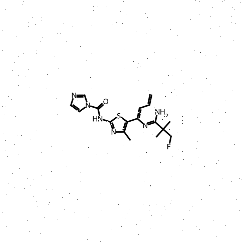 C=C/C=C(\N=C(/N)C(C)(C)CF)c1sc(NC(=O)n2ccnc2)nc1C